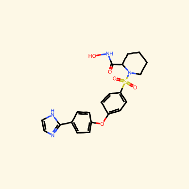 O=C(NO)C1CCCCN1S(=O)(=O)c1ccc(Oc2ccc(-c3ncc[nH]3)cc2)cc1